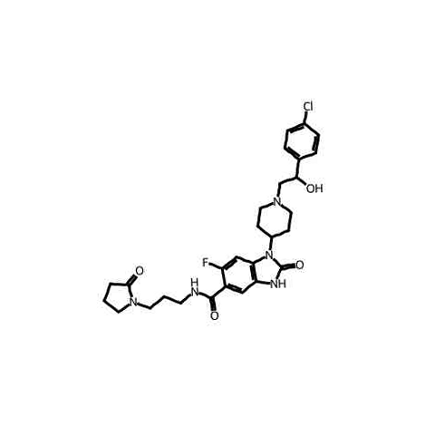 O=C(NCCCN1CCCC1=O)c1cc2[nH]c(=O)n(C3CCN(CC(O)c4ccc(Cl)cc4)CC3)c2cc1F